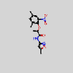 Cc1cc(C)c(OC(C)C(=O)Nc2cc(C)on2)c([N+](=O)[O-])c1